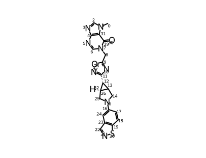 Cn1cnc2ncn(Cc3nc([C@@H]4C5CN(c6ccc7sncc7c6)C[C@H]54)no3)c(=O)c21